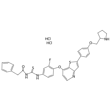 Cl.Cl.O=C(Cc1ccccc1)NC(=S)Nc1ccc(Oc2ccnc3cc(-c4ccc(OCC5CCCN5)cc4)sc23)c(F)c1